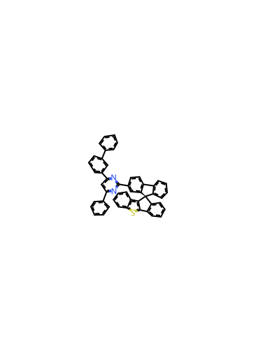 c1ccc(-c2cccc(-c3cc(-c4ccccc4)nc(-c4ccc5c(c4)[C@@]4(c6ccccc6-5)c5ccccc5-c5sc6ccccc6c54)n3)c2)cc1